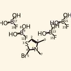 CC1=CSC(Br)N1C.OB(O)F.OB(O)F.OB(O)F.OB(O)F